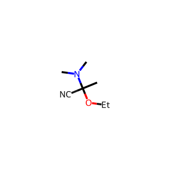 CCOC(C)(C#N)N(C)C